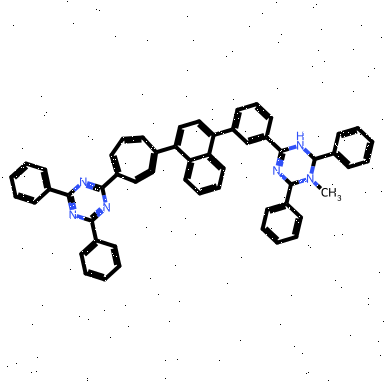 CN1C(c2ccccc2)N=C(c2cccc(-c3ccc(C4=C=CC(c5nc(-c6ccccc6)nc(-c6ccccc6)n5)=CC=C4)c4ccccc34)c2)NC1c1ccccc1